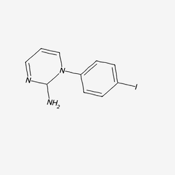 NC1N=CC=CN1c1ccc(I)cc1